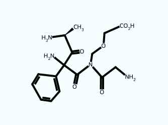 C[C@H](N)C(=O)C(N)(C(=O)N(COCC(=O)O)C(=O)CN)c1ccccc1